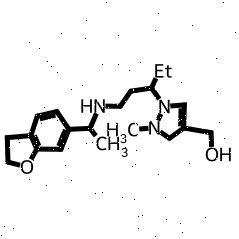 CCC(CCNC(C)c1ccc2c(c1)OCC2)N1C=C(CO)CN1C